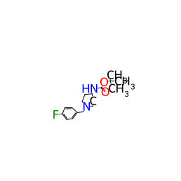 CC(C)(C)OC(=O)NC1CCN(Cc2ccc(F)cc2)CC1